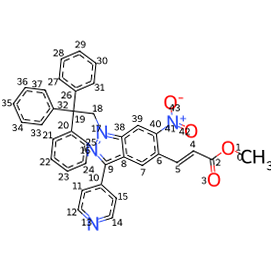 COC(=O)/C=C/c1cc2c(-c3ccncc3)nn(CC(c3ccccc3)(c3ccccc3)c3ccccc3)c2cc1[N+](=O)[O-]